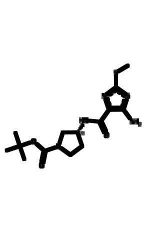 CSc1nc(C(=O)N[C@@H]2CCN(C(=O)OC(C)(C)C)C2)c(N)s1